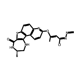 C=N/N=C(Cl)\C=C(/C)Oc1ccc2c(ccc3sc4c(c32)NC[C@@H](C)NC4=O)n1